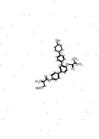 C=C(C)C(=O)Oc1ccc(-c2ccc(OC(=O)C(=C)COC)cc2)cc1-c1ccc(C2CCC(CCC)CC2)cc1